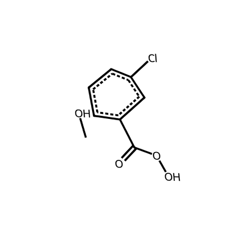 CO.O=C(OO)c1cccc(Cl)c1